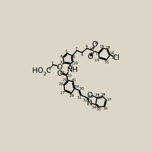 O=C(O)COc1ccc(CCCS(=O)(=O)c2ccc(Cl)cc2)cc1NC(=O)c1cccc(C=Cc2nc3ccccc3o2)c1